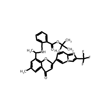 Cc1cc(C(C)Nc2ccccc2C(=O)OC(C)(C)C)c2oc(-c3ccc4nc(C(F)(F)F)cn4c3)cc(=O)c2c1